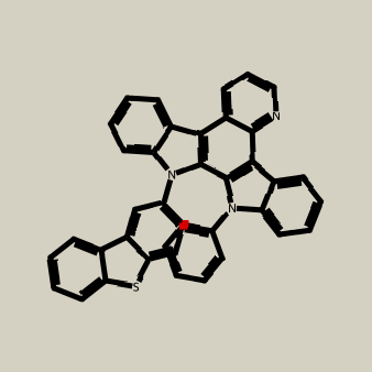 c1ccc(-n2c3ccccc3c3c4ncccc4c4c5ccccc5n(-c5ccc6sc7ccccc7c6c5)c4c32)cc1